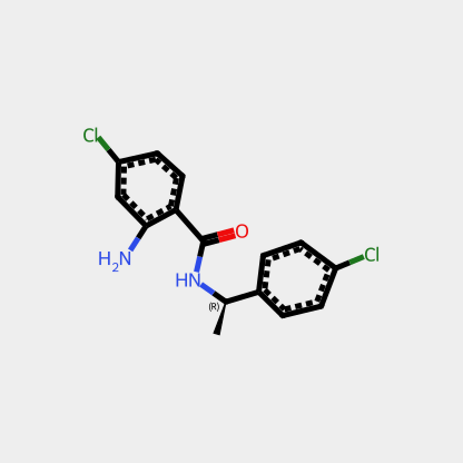 C[C@@H](NC(=O)c1ccc(Cl)cc1N)c1ccc(Cl)cc1